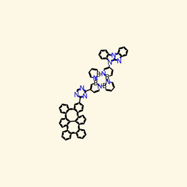 C1=CB2N3C=CC(c4ncnc(-c5ccc6c7cccc8c7-c7c(cccc7c7ccccc7c6c5)c5ccccc5c5ccccc85)n4)=CB3N3C=CC=CB3N3C=C(n4c5ccccc5n5c6ccccc6nc45)C=CB3N2C=C1